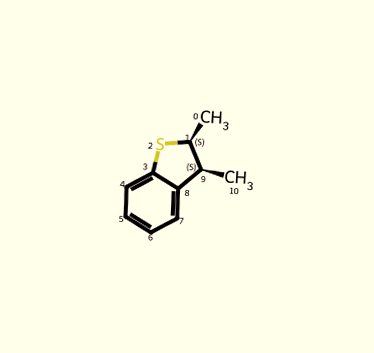 C[C@@H]1Sc2ccccc2[C@@H]1C